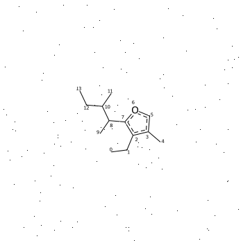 CCc1c(C)coc1C(C)C(C)CC